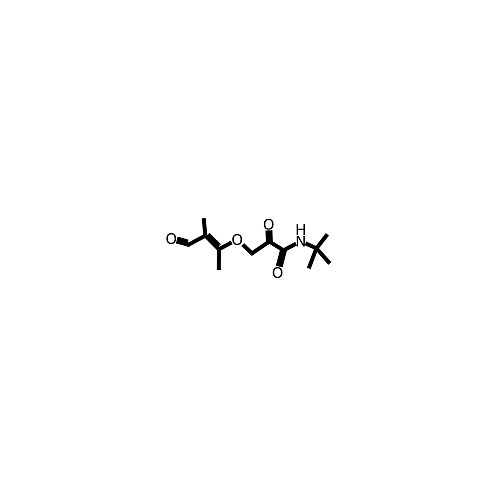 C/C(C=O)=C(/C)OCC(=O)C(=O)NC(C)(C)C